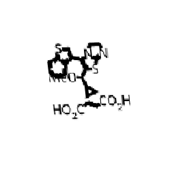 COC(C1=C(c2csc3ccccc23)N2CCN=C2S1)C1CC1.O=C(O)/C=C/C(=O)O